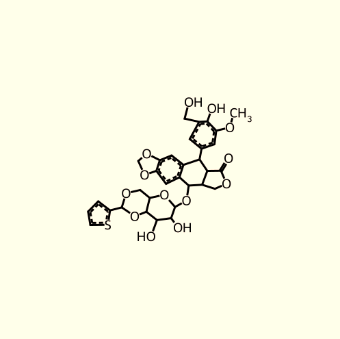 COc1cc(C2c3cc4c(cc3C(OC3OC5COC(c6cccs6)OC5C(O)C3O)C3COC(=O)C23)OCO4)cc(CO)c1O